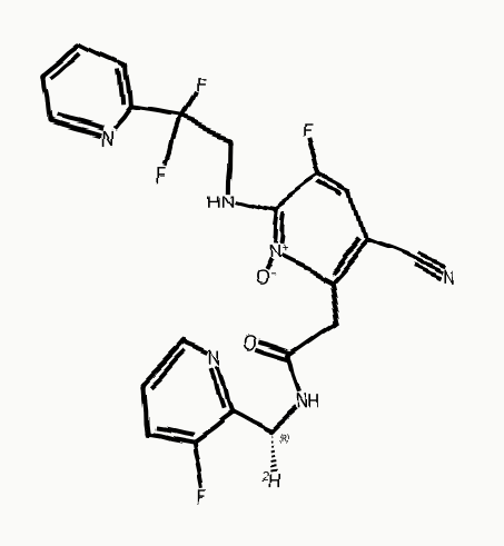 [2H][C@@H](NC(=O)Cc1c(C#N)cc(F)c(NCC(F)(F)c2ccccn2)[n+]1[O-])c1ncccc1F